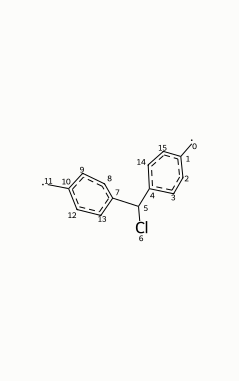 [CH2]c1ccc(C(Cl)c2ccc([CH2])cc2)cc1